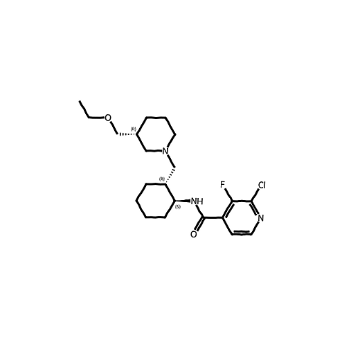 CCOC[C@@H]1CCCN(C[C@H]2CCCC[C@@H]2NC(=O)c2ccnc(Cl)c2F)C1